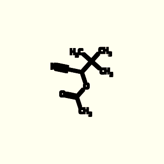 CC(=O)OC(C#N)C(C)(C)C